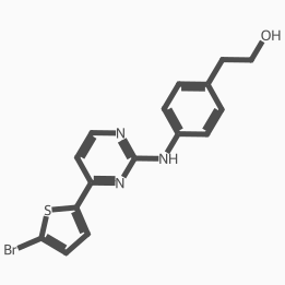 OCCc1ccc(Nc2nccc(-c3ccc(Br)s3)n2)cc1